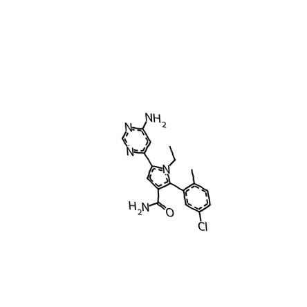 CCn1c(-c2cc(N)ncn2)cc(C(N)=O)c1-c1cc(Cl)ccc1C